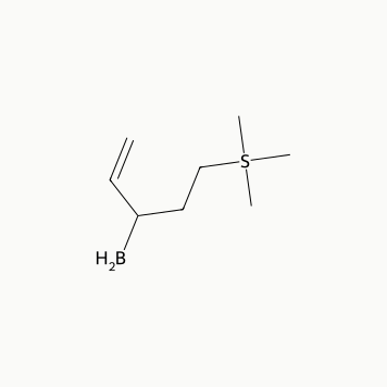 BC(C=C)CCS(C)(C)C